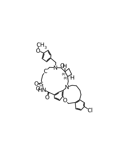 COc1ccc(CN2CCCCS(=O)(=O)NC(=O)c3ccc4c(c3)N(CCCCc3cc(Cl)ccc3CO4)C[C@@H]3CC[C@H]3C2=O)cc1